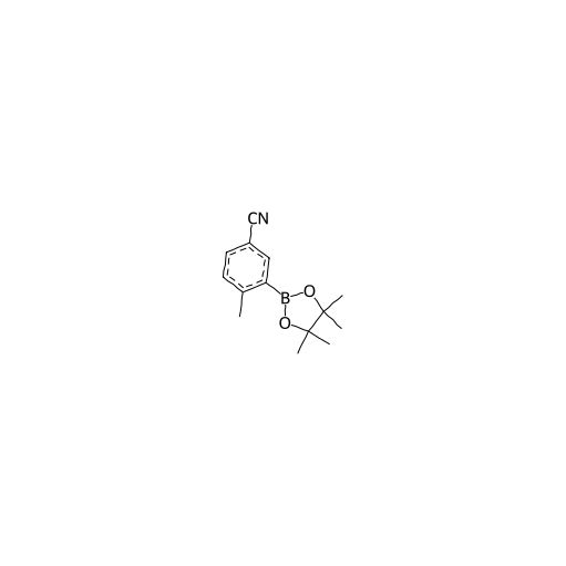 Cc1ccc(C#N)cc1B1OC(C)(C)C(C)(C)O1